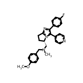 COc1ccc(CN(C)C[C@@H]2CCc3nc(-c4ccc(F)cc4)c(-c4ccncc4)n32)cc1